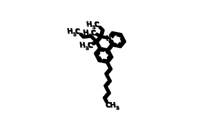 CCCCCCCc1ccc2c(c1)-c1cccc[n+]1C(C)(CC)C2(C)CCC